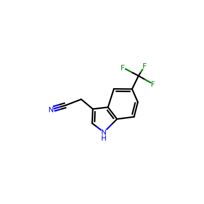 N#CCc1c[nH]c2ccc(C(F)(F)F)cc12